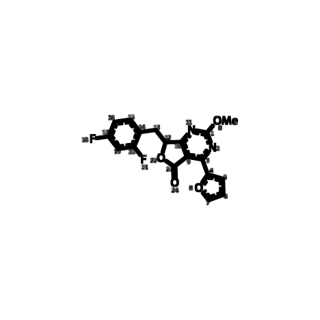 COc1nc(-c2ccco2)c2c(n1)C(Cc1ccc(F)cc1F)OC2=O